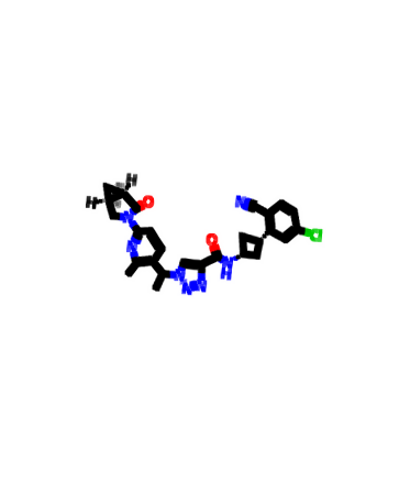 Cc1nc(N2C[C@H]3C[C@H]3C2=O)ccc1C(C)n1cc(C(=O)N[C@H]2C[C@@H](c3cc(Cl)ccc3C#N)C2)nn1